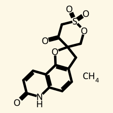 C.O=C1CS(=O)(=O)OCC12Cc1ccc3[nH]c(=O)ccc3c1O2